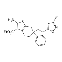 CCOC(=O)c1c(N)sc2c1CCC(CCc1cc(Br)no1)(c1ccccc1)C2